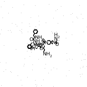 CC(C)C[C@@H](NC(=O)[C@@H](Cc1ccccc1)NC(=O)[C@H](N)CC1C=CC=CC1)C(=O)N[C@H](CCCCN)C(=O)N1CCC2(CC1)CN(C(=O)[C@@H](C)N)C2